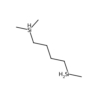 C[SiH2]CCCC[SiH](C)C